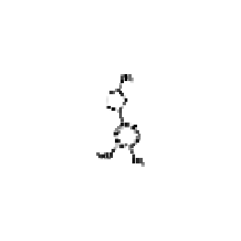 COc1cc(N2CCC(C)C2)ccc1C